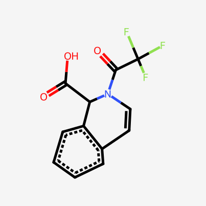 O=C(O)C1c2ccccc2C=CN1C(=O)C(F)(F)F